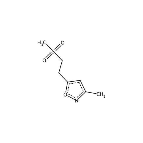 Cc1cc(CCS(C)(=O)=O)on1